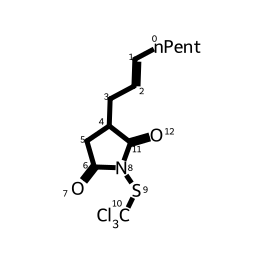 CCCCCC=CCC1CC(=O)N(SC(Cl)(Cl)Cl)C1=O